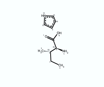 CC[C@H](C)[C@H](N)C(=O)O.c1cc[nH]c1